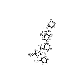 CN1CC[C@@H](N(C)[C@@]2(CCc3cccc(C(F)(F)F)c3)CCCN(c3cc(F)c(S(=O)(=O)Nc4ccncn4)c(F)c3)C2)C1